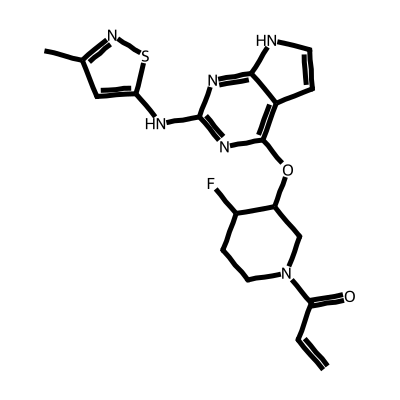 C=CC(=O)N1CCC(F)C(Oc2nc(Nc3cc(C)ns3)nc3[nH]ccc23)C1